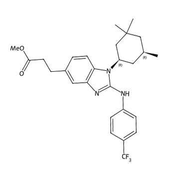 COC(=O)CCc1ccc2c(c1)nc(Nc1ccc(C(F)(F)F)cc1)n2[C@@H]1C[C@H](C)CC(C)(C)C1